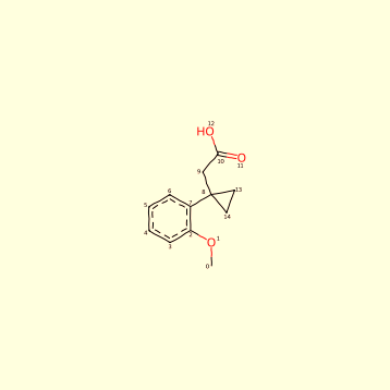 COc1ccccc1C1(CC(=O)O)CC1